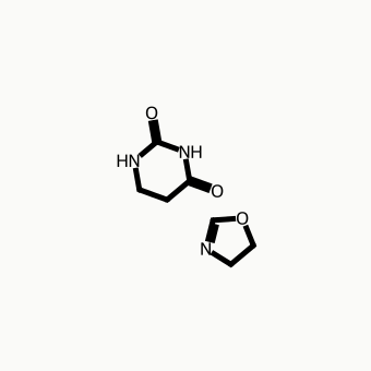 C1=NCCO1.O=C1CCNC(=O)N1